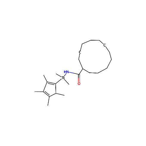 CC1=C(C)C(C)[C]([Ti]([CH3])([CH3])[NH]C(=O)C2CCCCCCCCCCC2)=C1C